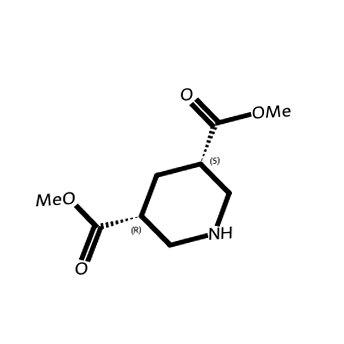 COC(=O)[C@@H]1CNC[C@H](C(=O)OC)C1